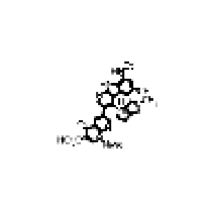 CCNc1cc(C(F)(F)F)cc2c1[nH]c1ncc(-c3cnc4c(c3)c(=O)c(C(=O)O)cn4NC)c(N3CCC4CN(C)C[C@H]43)c12